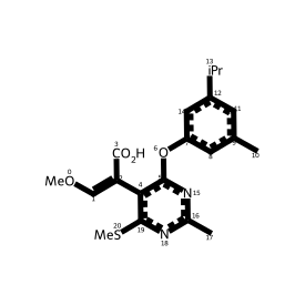 COC=C(C(=O)O)c1c(Oc2cc(C)cc(C(C)C)c2)nc(C)nc1SC